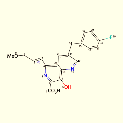 COC/C=C/c1nc(C(=O)O)c(O)c2ncc(Cc3ccc(F)cc3)cc12